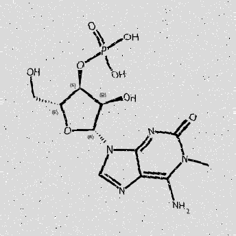 Cn1c(N)c2ncn([C@@H]3O[C@H](CO)[C@@H](OP(=O)(O)O)[C@H]3O)c2nc1=O